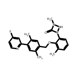 Cc1cc(-c2cc(F)ccn2)c(C)cc1COc1c(C)cccc1-n1[nH]n(C)c1=O